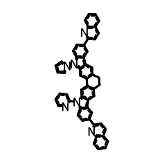 c1ccc(-n2c3ccc(-c4ccc5ccccc5n4)cc3c3cc4c(cc32)-c2cc3c(cc2CC4)c2cc(-c4ccc5ccccc5n4)ccc2n3-n2cccc2)nc1